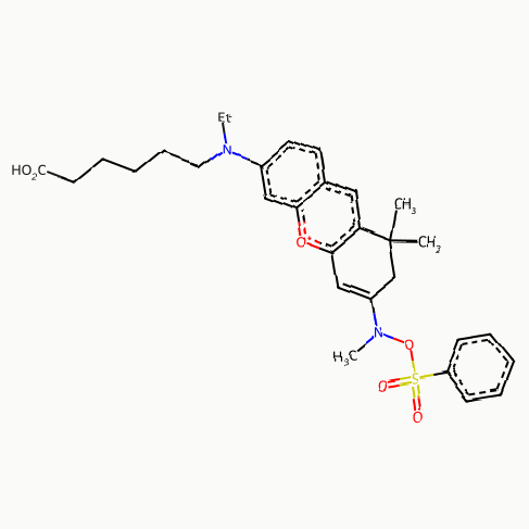 CCN(CCCCCC(=O)O)c1ccc2cc3c([o+]c2c1)C=C(N(C)OS(=O)(=O)c1ccccc1)CC3(C)C